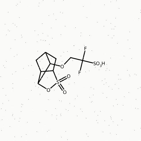 O=S1(=O)OC2C3CC(CC31)C2OCC(F)(F)S(=O)(=O)O